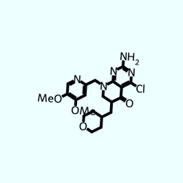 COc1cnc(CN2CC(CC3CCOCC3)C(=O)c3c(Cl)nc(N)nc32)cc1OC